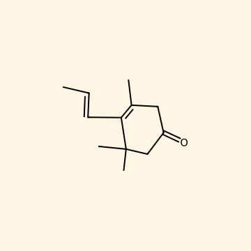 C/C=C/C1=C(C)CC(=O)CC1(C)C